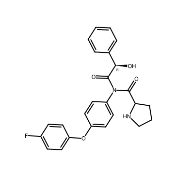 O=C(C1CCCN1)N(C(=O)[C@H](O)c1ccccc1)c1ccc(Oc2ccc(F)cc2)cc1